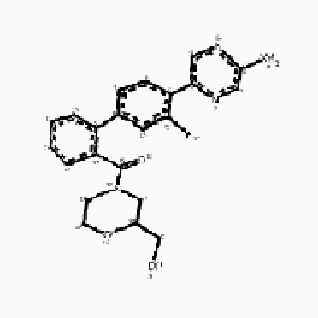 Nc1cnc(-c2ccc(-c3ccccc3C(=O)N3CCOC(CO)C3)cc2F)cn1